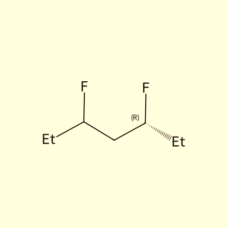 CCC(F)C[C@H](F)CC